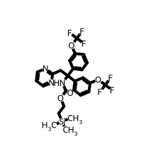 C[Si](C)(C)CCOC(=O)NC(Cc1ncccn1)(c1cccc(OC(F)(F)F)c1)c1cccc(OC(F)(F)F)c1